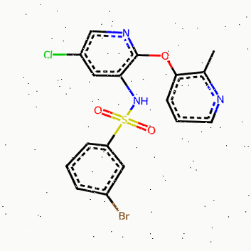 Cc1ncccc1Oc1ncc(Cl)cc1NS(=O)(=O)c1cccc(Br)c1